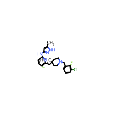 Cc1cc(Nc2ccc(F)c(CC3(C(=O)O)CCN(Cc4cccc(Cl)c4F)CC3)n2)n[nH]1